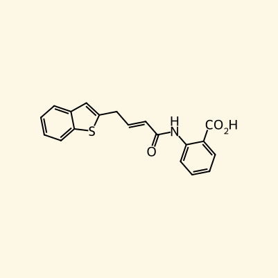 O=C(C=CCc1cc2ccccc2s1)Nc1ccccc1C(=O)O